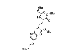 CC(C)(C)OC(=O)N[C@@H](CCC(Cc1ccc(OCC[18F])cn1)C(=O)OC(C)(C)C)C(=O)OC(C)(C)C